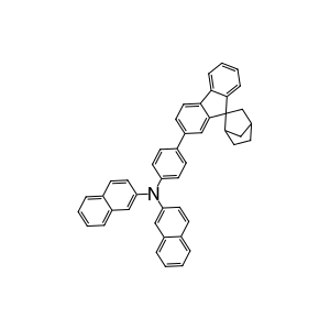 c1ccc2c(c1)-c1ccc(-c3ccc(N(c4ccc5ccccc5c4)c4ccc5ccccc5c4)cc3)cc1C21CC2CCC1C2